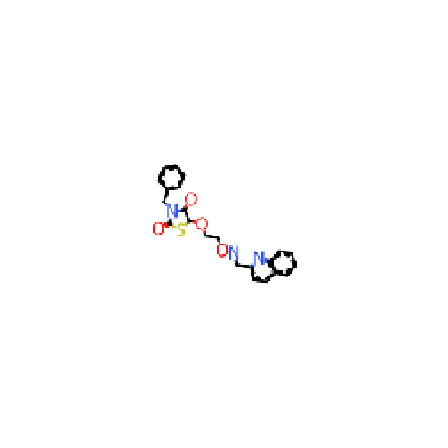 O=C1SC(OCCON=Cc2ccc3ccccc3n2)C(=O)N1Cc1ccccc1